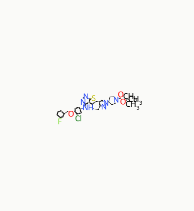 CC(C)(C)OC(=O)N1CCC(n2cc3c(n2)CCc2c-3sc3ncnc(Nc4ccc(OCc5cccc(F)c5)c(Cl)c4)c23)CC1